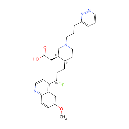 COc1ccc2nccc([C@@H](F)CC[C@@H]3CCN(CCCc4cccnn4)C[C@@H]3CC(=O)O)c2c1